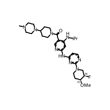 CO[C@H]1CCN(c2nccc(Nc3cc(NC(C)C)c(C(=O)N4CCC(N5CCN(C)CC5)CC4)cn3)n2)C[C@H]1F